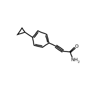 NC(=O)C#Cc1ccc(C2CC2)cc1